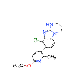 COc1ccc(-c2c[c]c3c(nc4n3CCCN4)c2Cl)c(C)n1